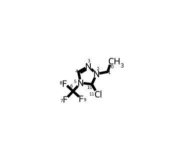 CCN1N=CN(C(F)(F)F)C1Cl